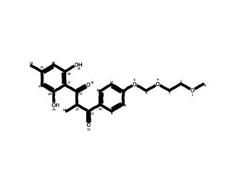 COCCOCOc1ccc(C(=O)C(C)C(=O)c2c(O)cc(C)cc2O)cc1